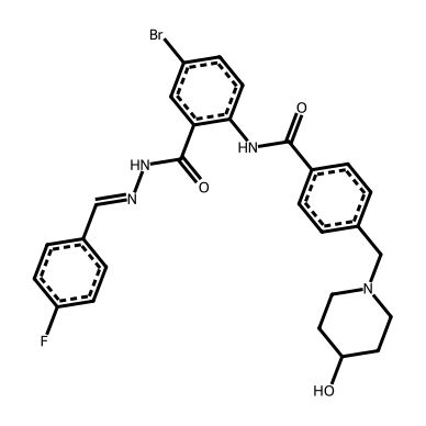 O=C(Nc1ccc(Br)cc1C(=O)N/N=C/c1ccc(F)cc1)c1ccc(CN2CCC(O)CC2)cc1